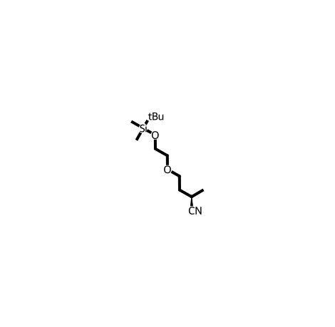 C[C@@H](C#N)CCOCCO[Si](C)(C)C(C)(C)C